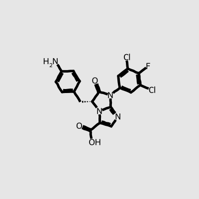 Nc1ccc(C[C@@H]2C(=O)N(c3cc(Cl)c(F)c(Cl)c3)c3ncc(C(=O)O)n32)cc1